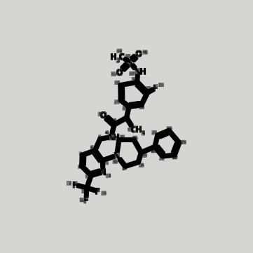 CC(C(=O)NCc1ccc(C(F)(F)F)nc1N1CCC(c2ccccc2)CC1)c1ccc(NS(C)(=O)=O)c(F)c1